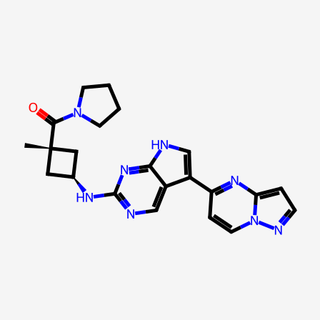 C[C@]1(C(=O)N2CCCC2)C[C@H](Nc2ncc3c(-c4ccn5nccc5n4)c[nH]c3n2)C1